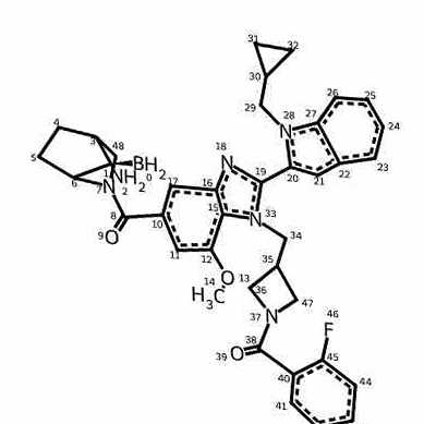 B[C@]1(N)C2CCC1N(C(=O)c1cc(OC)c3c(c1)nc(-c1cc4ccccc4n1CC1CC1)n3CC1CN(C(=O)c3ccccc3F)C1)C2